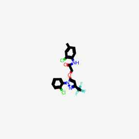 Cc1ccc(NC(=O)COc2cc(C(F)(F)F)nn2-c2ccccc2Cl)c(Cl)c1